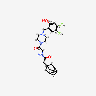 O=C(CC12CC3CC(C1)C(C3)C2)NCC(=O)N1CCN(Cc2cc(F)c(F)cc2O)CC1